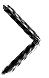 [Bi+3].[Bi+3].[Bi+3].[Bi+3].[Bi+3].[Bi+3].[Bi+3].[Bi+3].[Bi+3].[Bi+3].[Bi+3].[Bi+3].[Bi+3].[Bi+3].[Bi+3].[Bi+3].[Bi+3].[Bi+3].[Bi+3].[Bi+3].[Bi+3].[Bi+3].[Bi+3].[Bi+3].[Bi+3].[Bi+3].[Bi+3].[Bi+3].[Bi+3].[Bi+3].[Bi+3].[Bi+3].[Bi+3].[Bi+3].[Bi+3].[Bi+3].[Bi+3].[Bi+3].[Bi+3].[Bi+3].[Bi+3].[Bi+3].[Bi+3].[Bi+3].[Bi+3].[Bi+3].[Bi+3].[Bi+3].[Bi+3].[Bi+3].[Bi+3].[Bi+3].[Bi+3].[Bi+3].[Bi+3].[Bi+3].[Bi+3].[Bi+3].[Bi+3].[Bi+3].[Bi+3].[Bi+3].[Bi+3].[Bi+3].[Bi+3].[Bi+3].[Bi+3].[Bi+3].[Bi+3].[O-2].[O-2].[O-2].[O-2].[O-2].[O-2].[O-2].[O-2]